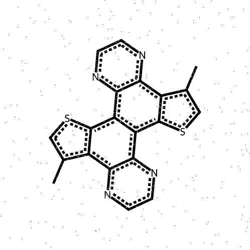 Cc1csc2c1c1nccnc1c1c3scc(C)c3c3nccnc3c21